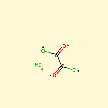 Cl.O=C(Cl)C(=O)Cl